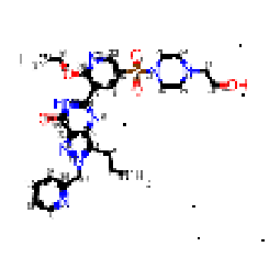 CCCc1c2nc(-c3cc(S(=O)(=O)N4CCN(CCO)CC4)cnc3OCC)[nH]c(=O)c2nn1Cc1ccccn1